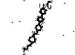 C=CC(=O)Nc1ccc(-c2ccc(C3CCC(CCC4CCC(CCCCC)CC4)CC3)cc2)cc1